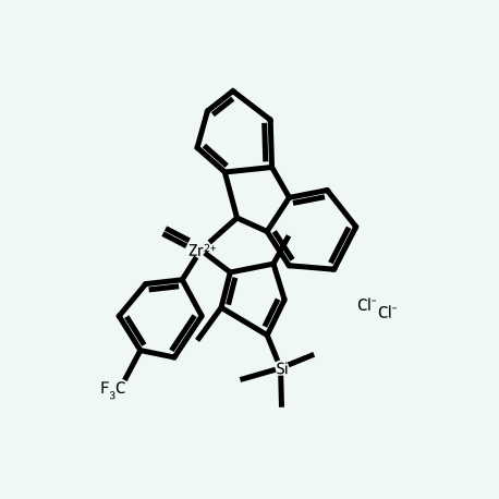 [CH2]=[Zr+2]([C]1=C(C)C([Si](C)(C)C)=CC1C)([c]1ccc(C(F)(F)F)cc1)[CH]1c2ccccc2-c2ccccc21.[Cl-].[Cl-]